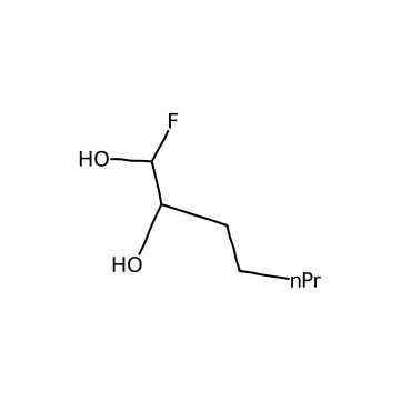 CCCCCC(O)C(O)F